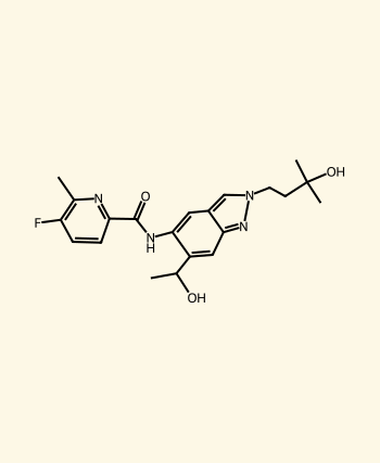 Cc1nc(C(=O)Nc2cc3cn(CCC(C)(C)O)nc3cc2C(C)O)ccc1F